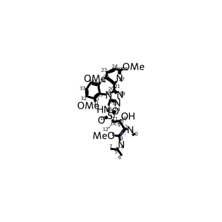 C=N/C(=C(\N=C(C)C)OC)[C@@H](O)[C@H](C)S(=O)(=O)Nc1nnc(-c2cccc(OC)n2)n1-c1c(OC)cccc1OC